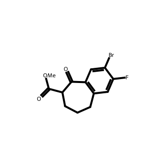 COC(=O)C1CCCc2cc(F)c(Br)cc2C1=O